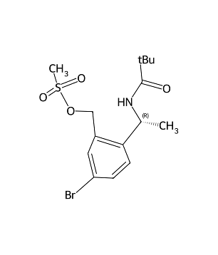 C[C@@H](NC(=O)C(C)(C)C)c1ccc(Br)cc1COS(C)(=O)=O